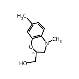 Cc1ccc2c(c1)O[C@H](CO)CN2C